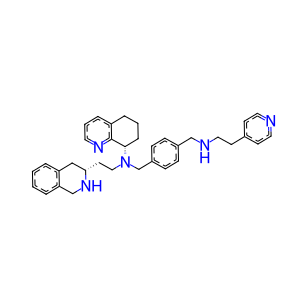 c1ccc2c(c1)CN[C@@H](CCN(Cc1ccc(CNCCc3ccncc3)cc1)[C@H]1CCCc3cccnc31)C2